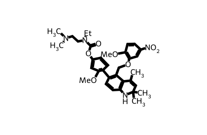 CCN(CCN(C)C)C(=O)Oc1ccc(-c2ccc3c(c2COc2cc([N+](=O)[O-])ccc2OC)C(C)=CC(C)(C)N3)c(OC)c1